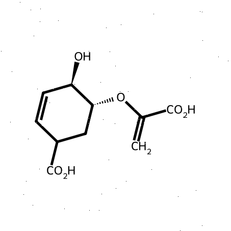 C=C(O[C@@H]1CC(C(=O)O)C=C[C@H]1O)C(=O)O